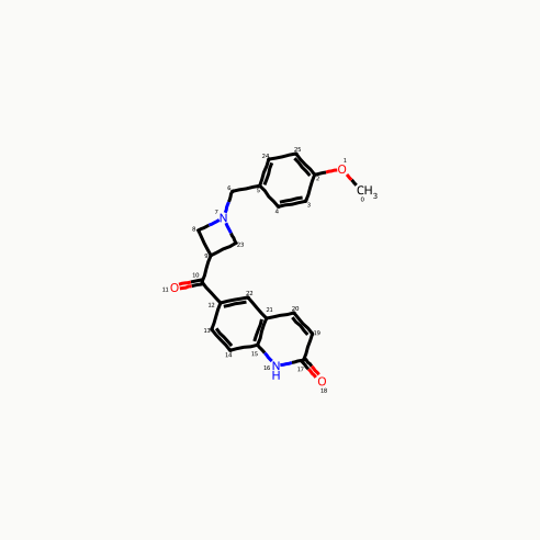 COc1ccc(CN2CC(C(=O)c3ccc4[nH]c(=O)ccc4c3)C2)cc1